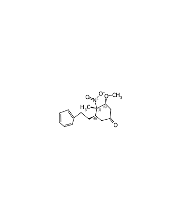 CO[C@H]1CC(=O)C[C@@H](CCc2ccccc2)[C@]1(C)[N+](=O)[O-]